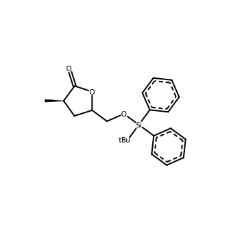 C[C@@H]1CC(CO[Si](c2ccccc2)(c2ccccc2)C(C)(C)C)OC1=O